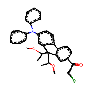 COC(C)C1(C(C)OC)c2cc(C(=O)CBr)ccc2-c2ccc(N(c3ccccc3)c3ccccc3)cc21